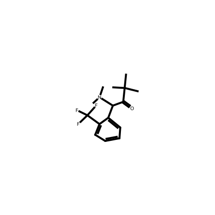 CN(C)C(C(=O)C(C)(C)C)c1ccccc1C(F)(F)F